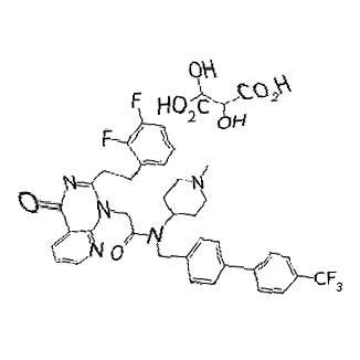 CN1CCC(N(Cc2ccc(-c3ccc(C(F)(F)F)cc3)cc2)C(=O)Cn2c(CCc3cccc(F)c3F)nc(=O)c3cccnc32)CC1.O=C(O)C(O)C(O)C(=O)O